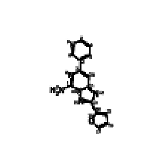 Nc1nc(-c2cccnc2)cc2nc(-c3ccco3)nn12